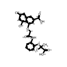 CC(C)(Oc1ccccc1NC(=O)COc1cc(C(=O)O)cc2cc(Cl)cc(Cl)c12)C(=O)O